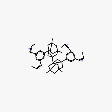 C/C=C\c1cc(/C=C\C)cc(C23CC4(C)CC(C)(C2)CC(C25CC6(C)CC(C)(CC(c7cc(/C=C\C)cc(/C=C\C)c7)(C6)C2)C5)(C4)C3)c1